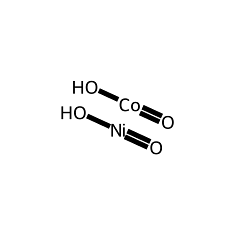 [O]=[Co][OH].[O]=[Ni][OH]